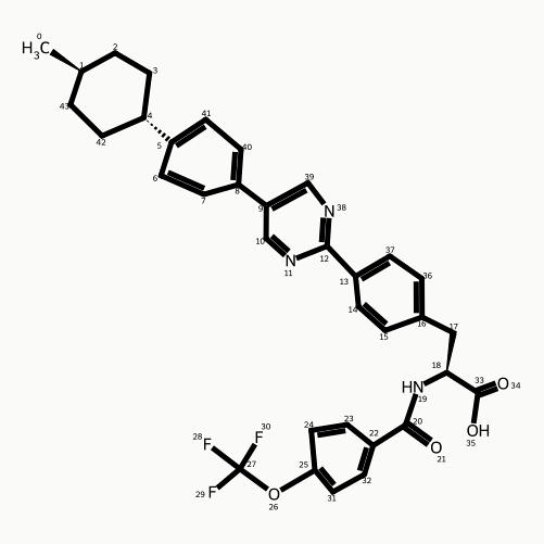 C[C@H]1CC[C@H](c2ccc(-c3cnc(-c4ccc(C[C@H](NC(=O)c5ccc(OC(F)(F)F)cc5)C(=O)O)cc4)nc3)cc2)CC1